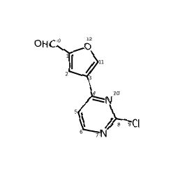 O=Cc1cc(-c2ccnc(Cl)n2)co1